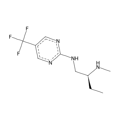 CC[C@@H](CNc1ncc(C(F)(F)F)cn1)NC